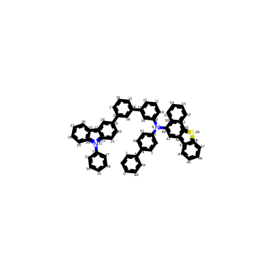 c1ccc(-c2ccc(N(c3cccc(-c4cccc(-c5ccc6c(c5)c5ccccc5n6-c5ccccc5)c4)c3)c3cc4c5ccccc5sc4c4ccccc34)cc2)cc1